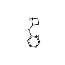 c1ccc(NC2CCN2)nc1